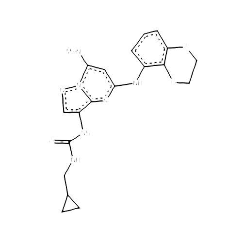 CNc1cc(Nc2cccc3c2OCCO3)nc2c(NC(=O)NCC3CC3)cnn12